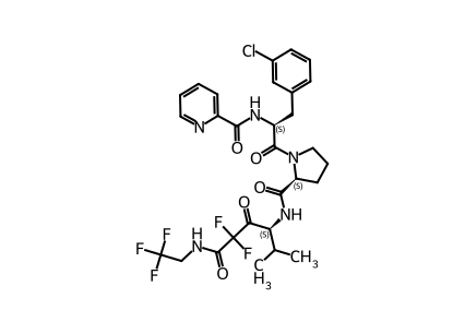 CC(C)[C@H](NC(=O)[C@@H]1CCCN1C(=O)[C@H](Cc1cccc(Cl)c1)NC(=O)c1ccccn1)C(=O)C(F)(F)C(=O)NCC(F)(F)F